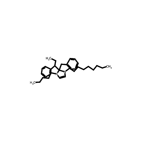 CCCCCCCCCN1C=CN(CCCCC)C1(Cc1ccccc1)C(CC)c1ccccc1